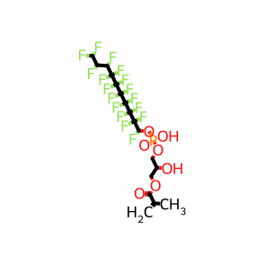 C=C(C)C(=O)OCC(O)COP(=O)(O)OC(F)C(F)(F)C(F)(F)C(F)(F)C(F)(F)C(F)(F)C(F)(F)C(F)C(F)C(F)F